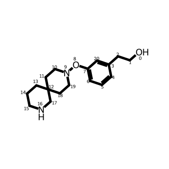 OCCc1cccc(ON2CCC3(CCCNC3)CC2)c1